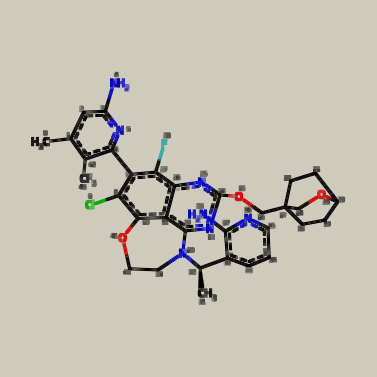 Cc1cc(N)nc(-c2c(Cl)c3c4c(nc(OCC56CCC(CC5)OC6)nc4c2F)N([C@H](C)c2cccnc2N)CCO3)c1C(F)(F)F